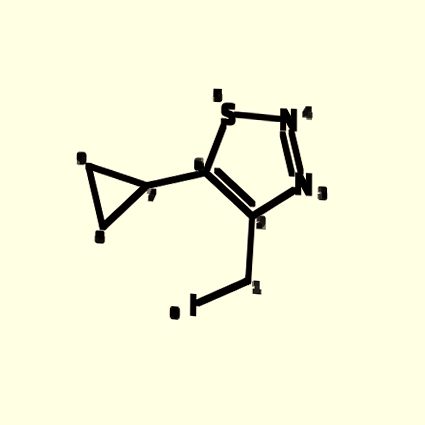 ICc1nnsc1C1CC1